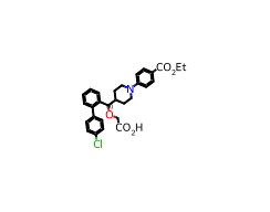 CCOC(=O)c1ccc(N2CCC([C@@H](OCC(=O)O)c3ccccc3-c3ccc(Cl)cc3)CC2)cc1